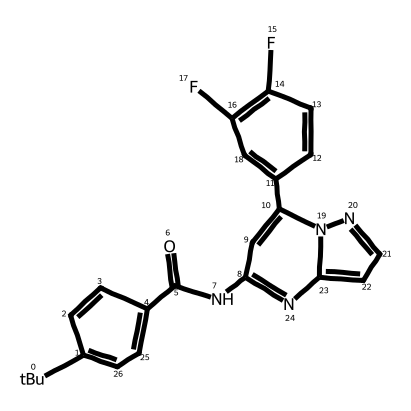 CC(C)(C)c1ccc(C(=O)Nc2cc(-c3ccc(F)c(F)c3)n3nccc3n2)cc1